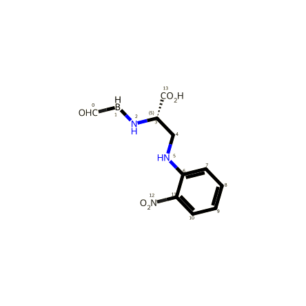 O=CBN[C@@H](CNc1ccccc1[N+](=O)[O-])C(=O)O